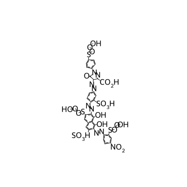 O=C(O)C1=NN(c2ccc(SOOO)cc2)C(=O)C1/N=N/c1ccc(/N=N/c2c(SOOO)cc3cc(S(=O)(=O)O)c(/N=N/c4ccc([N+](=O)[O-])cc4SOOO)c(O)c3c2O)c(S(=O)(=O)O)c1